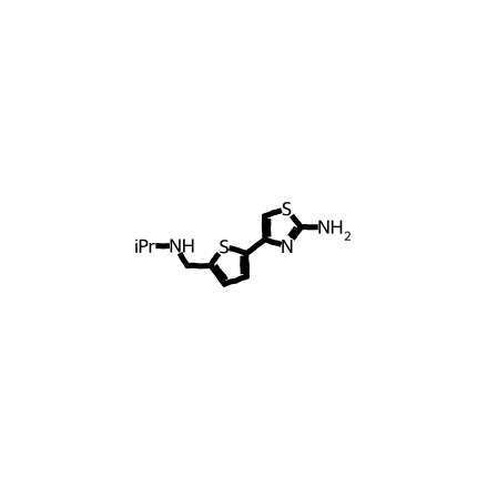 CC(C)NCc1ccc(-c2csc(N)n2)s1